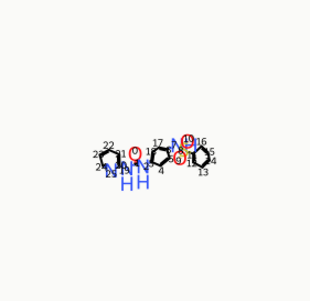 O=C(Nc1ccc(NS(=O)(=O)c2ccccc2)cc1)Nc1ccccn1